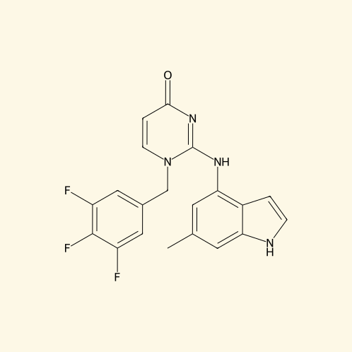 Cc1cc(Nc2nc(=O)ccn2Cc2cc(F)c(F)c(F)c2)c2cc[nH]c2c1